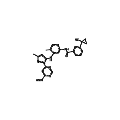 CNc1cc(-n2nc(C)cc2Nc2cc(NC(=O)c3cccc(C4(C#N)CC4)c3)ccc2C)ncn1